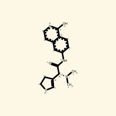 CN(C)[C@@H](C(=O)Nc1ccc2c(O)nccc2c1)C1=CSCC1